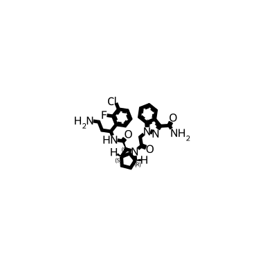 NCCC(NC(=O)[C@@H]1[C@H]2CC[C@H](C2)N1C(=O)Cn1nc(C(N)=O)c2ccccc21)c1cccc(Cl)c1F